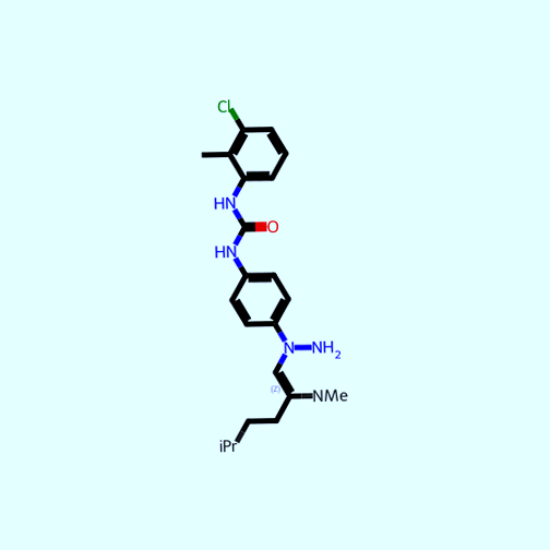 CN/C(=C\N(N)c1ccc(NC(=O)Nc2cccc(Cl)c2C)cc1)CCC(C)C